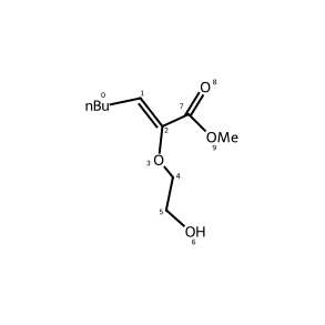 CCCCC=C(OCCO)C(=O)OC